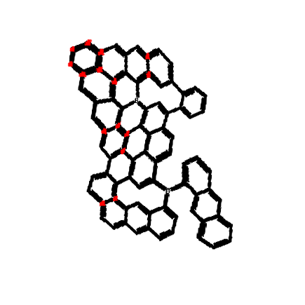 c1ccc(-c2ccccc2-c2cc(B(c3cccc4cc5ccccc5cc34)c3cccc4cc5ccccc5cc34)c3ccc4c(-c5ccccc5-c5ccccc5)cc(B(c5cccc6cc7ccccc7cc56)c5cccc6cc7ccccc7cc56)c5ccc2c3c54)cc1